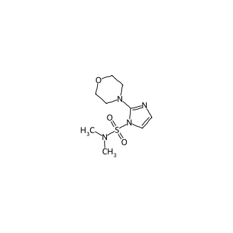 CN(C)S(=O)(=O)n1ccnc1N1CCOCC1